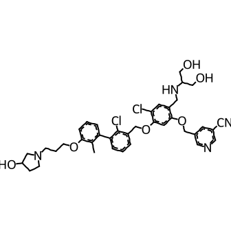 Cc1c(OCCCN2CCC(O)C2)cccc1-c1cccc(COc2cc(OCc3cncc(C#N)c3)c(CNC(CO)CO)cc2Cl)c1Cl